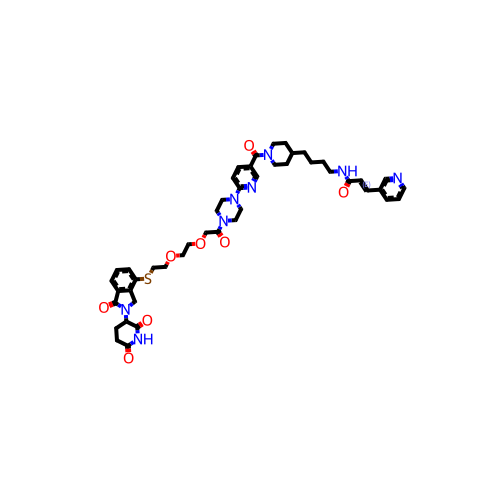 O=C(/C=C/c1cccnc1)NCCCCC1CCN(C(=O)c2ccc(N3CCN(C(=O)COCCOCCSc4cccc5c4CN(C4CCC(=O)NC4=O)C5=O)CC3)nc2)CC1